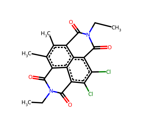 CCN1C(=O)c2c(C)c(C)c3c4c(c(Cl)c(Cl)c(c24)C1=O)C(=O)N(CC)C3=O